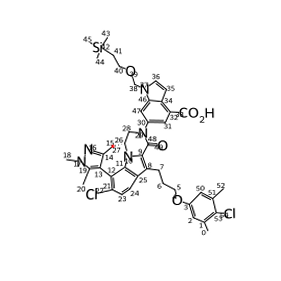 Cc1cc(OCCCc2c3n(c4c(-c5c(C)nn(C)c5C)c(Cl)ccc24)[C@H](C)CN(c2cc(C(=O)O)c4ccn(COCC[Si](C)(C)C)c4c2)C3=O)cc(C)c1Cl